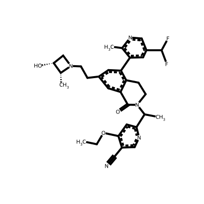 CCOc1cc(C(C)N2CCc3c(cc(CCN4C[C@@H](O)[C@H]4C)cc3-c3cc(C(F)F)cnc3C)C2=O)ncc1C#N